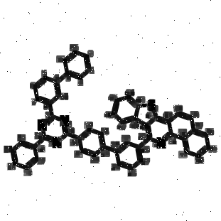 c1ccc(-c2cccc(-c3nc(-c4ccccc4)nc(-c4ccc(-c5cccc(-c6nc7c8ccccc8ccc7c7sc8ccccc8c67)c5)cc4)n3)c2)cc1